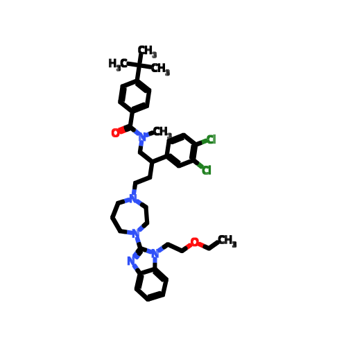 CCOCCn1c(N2CCCN(CCC(CN(C)C(=O)c3ccc(C(C)(C)C)cc3)c3ccc(Cl)c(Cl)c3)CC2)nc2ccccc21